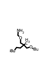 CCC(C)CCC(C)(COCN)COC(C)CC